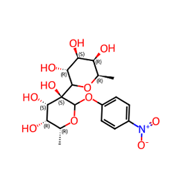 C[C@H]1OC([C@]2(O)C(Oc3ccc([N+](=O)[O-])cc3)O[C@H](C)[C@H](O)[C@@H]2O)[C@H](O)[C@@H](O)[C@H]1O